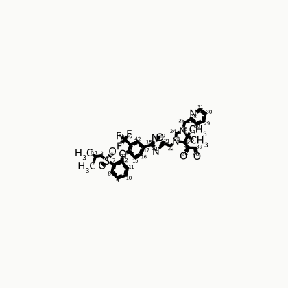 CC(C)CS(=O)(=O)c1ccccc1Oc1ccc(-c2noc(CN3CN(Cc4ccccn4)C(C)(C)C3C(=O)C=O)n2)cc1C(F)(F)F